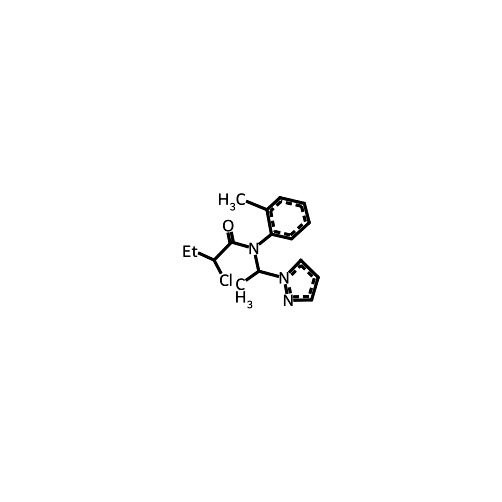 CCC(Cl)C(=O)N(c1ccccc1C)C(C)n1cccn1